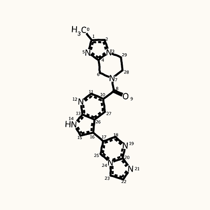 Cc1cn2c(n1)CN(C(=O)c1cnc3[nH]cc(-c4cnc5nccn5c4)c3c1)CC2